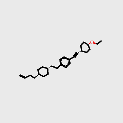 C=CCC[C@H]1CC[C@H](CCc2ccc(C#C[C@H]3CC[C@H](OCC)CC3)cc2)CC1